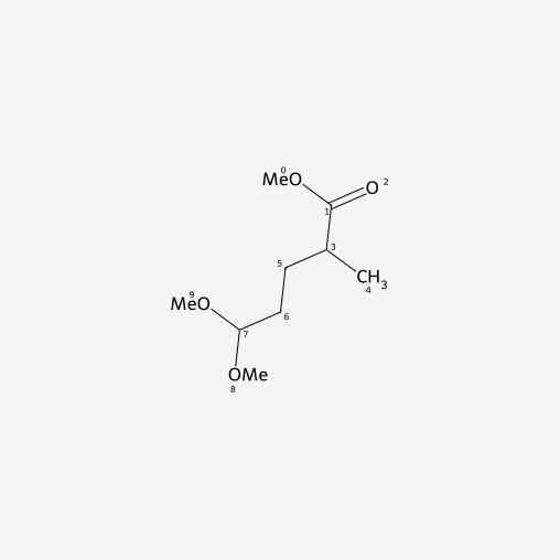 COC(=O)C(C)CCC(OC)OC